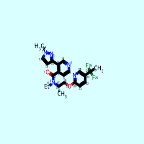 CCN(C(=O)c1ccncc1-c1ccn(C)n1)[C@@H](C)COc1ccc(C(C)(F)F)cn1